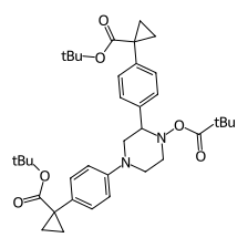 CC(C)(C)OC(=O)C1(c2ccc(C3CN(c4ccc(C5(C(=O)OC(C)(C)C)CC5)cc4)CCN3OC(=O)C(C)(C)C)cc2)CC1